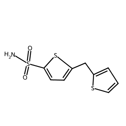 NS(=O)(=O)c1ccc(Cc2cccs2)s1